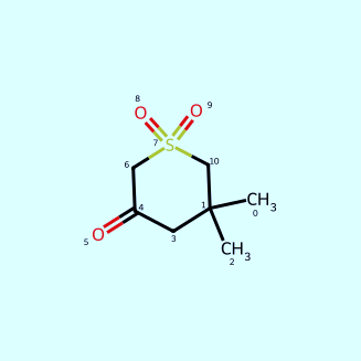 CC1(C)CC(=O)CS(=O)(=O)C1